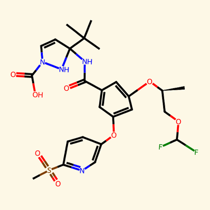 C[C@@H](COC(F)F)Oc1cc(Oc2ccc(S(C)(=O)=O)nc2)cc(C(=O)NC2(C(C)(C)C)C=CN(C(=O)O)N2)c1